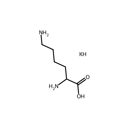 NCCCCC(N)C(=O)O.[KH]